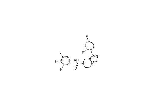 Cc1cc(NC(=O)N2CCn3cnc(-c4ccc(F)cc4F)c3C2)cc(F)c1F